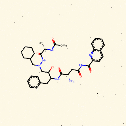 COC(=O)N[C@H](C(=O)NN(CC1CCCCC1)CC(O)C(Cc1ccccc1)NC(=O)[C@@H](N)CC(=O)NC(=O)c1ccc2ccccc2n1)C(C)C